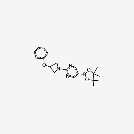 CC1(C)OB(c2cnc(N3CC(Oc4ccccc4)C3)nc2)OC1(C)C